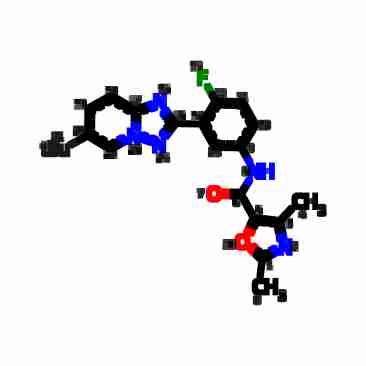 Cc1nc(C)c(C(=O)Nc2ccc(F)c(-c3nc4ccc(C(C)(C)C)cn4n3)c2)o1